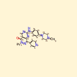 CC(C)n1nc(-c2ccncc2)c2nc(Nc3ccc(N4CCN(C)CC4)cc3)ncc2c1=O